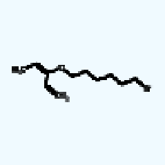 C=C/C(=C\C)OCCCCCCBr